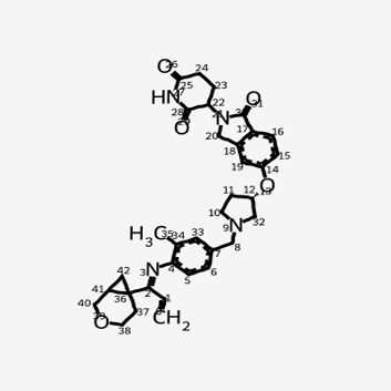 C=C/C(=N\c1ccc(CN2CC[C@H](Oc3ccc4c(c3)CN(C3CCC(=O)NC3=O)C4=O)C2)cc1C)C12CCOCC1C2